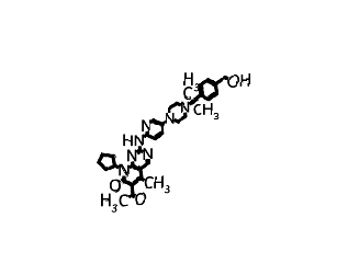 CC(=O)c1c(C)c2cnc(Nc3ccc(N4CCN(C(C)(C)c5ccc(CO)cc5)CC4)cn3)nc2n(C2CCCC2)c1=O